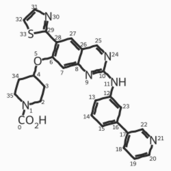 O=C(O)N1CCC(Oc2cc3nc(Nc4cccc(-c5cccnc5)c4)ncc3cc2-c2nccs2)CC1